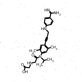 Cc1cc(N(C(=O)CNCC(=O)O)C(C)C)c(C)cc1C#CCNc1ccc(C(=N)N)cc1